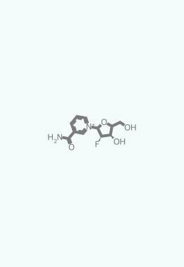 NC(=O)c1ccc[n+](C2OC(CO)[C@@H](O)[C@@H]2F)c1